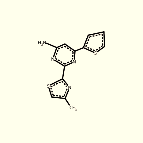 Nc1cc(-c2cccs2)nc(-c2nc(C(F)(F)F)cs2)n1